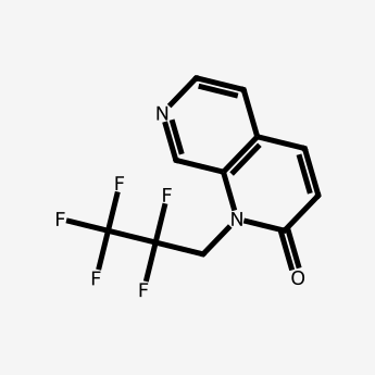 O=c1ccc2ccncc2n1CC(F)(F)C(F)(F)F